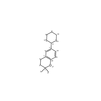 CC1(C)CCc2cc(C3SCCCS3)ccc2O1